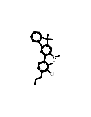 CCCc1ccc(-c2cc3c(cc2OC)C(C)(C)c2ccccc2-3)c(F)c1Cl